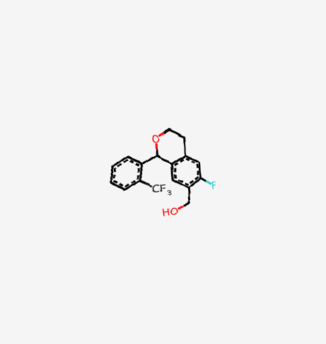 OCc1cc2c(cc1F)CCOC2c1ccccc1C(F)(F)F